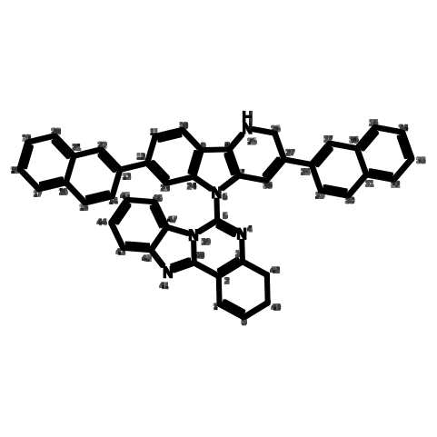 C1=Cc2c(nc(-n3c4c(c5ccc(-c6ccc7ccccc7c6)cc53)NCC(c3ccc5ccccc5c3)=C4)n3c2nc2ccccc23)CC1